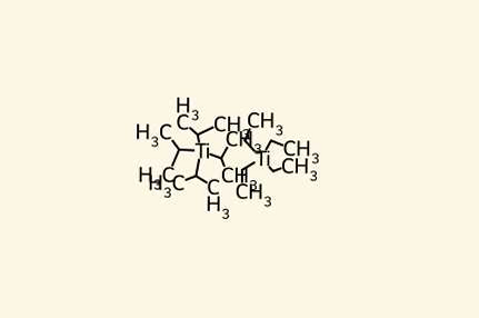 C[CH2][Ti]([CH2]C)([CH2]C)[CH2]C.C[CH](C)[Ti]([CH](C)C)([CH](C)C)[CH](C)C